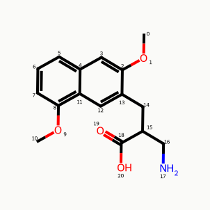 COc1cc2cccc(OC)c2cc1CC(CN)C(=O)O